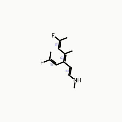 CN/C=C/C(/C=C(\C)F)=C(C)/C=C(\C)F